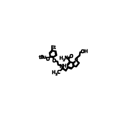 CCc1ccc(OCCN[C@H](C)Cc2cc3c(c(C(N)=O)c2)N(CCCO)CC3)c(OC(C)(C)C)c1